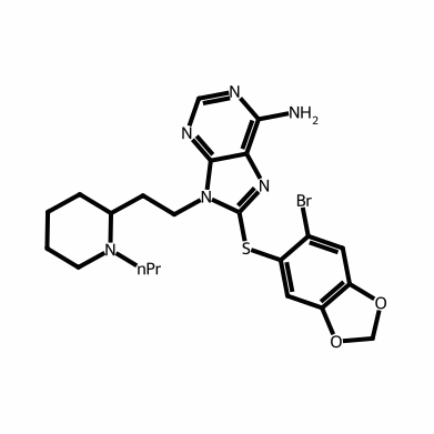 CCCN1CCCCC1CCn1c(Sc2cc3c(cc2Br)OCO3)nc2c(N)ncnc21